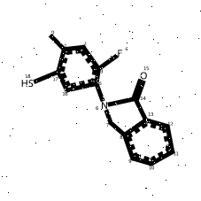 Cc1cc(F)c(N2Cc3ccccc3C2=O)cc1S